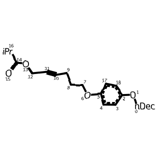 CCCCCCCCCCOc1ccc(OCCCC#CCOC(=O)C(C)C)cc1